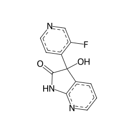 O=C1Nc2ncccc2C1(O)c1ccncc1F